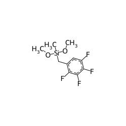 CO[Si](C)(Cc1cc(F)c(F)c(F)c1F)OC